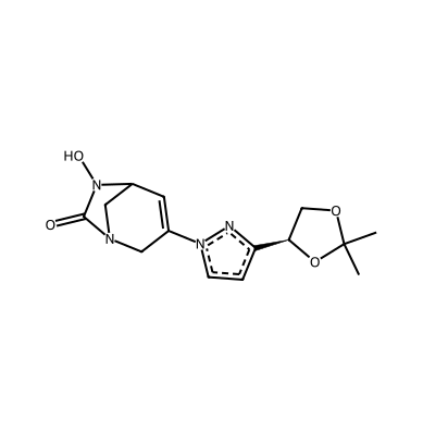 CC1(C)OC[C@H](c2ccn(C3=CC4CN(C3)C(=O)N4O)n2)O1